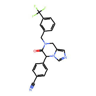 N#Cc1ccc(C2C(=O)N(Cc3cccc(C(F)(F)F)c3)Cc3cncn32)cc1